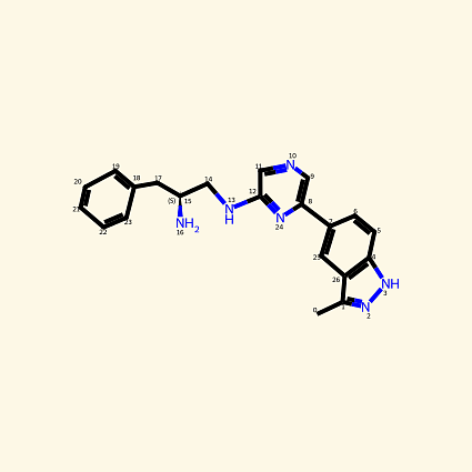 Cc1n[nH]c2ccc(-c3cncc(NC[C@@H](N)Cc4ccccc4)n3)cc12